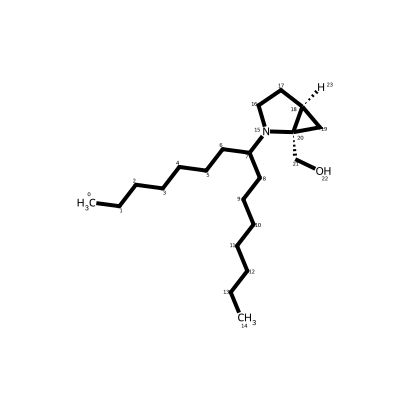 CCCCCCCC(CCCCCCC)N1CC[C@H]2C[C@]21CO